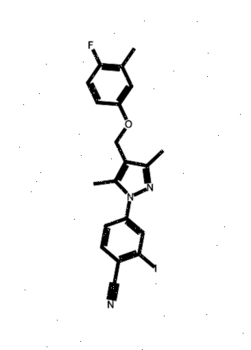 Cc1cc(OCc2c(C)nn(-c3ccc(C#N)c(I)c3)c2C)ccc1F